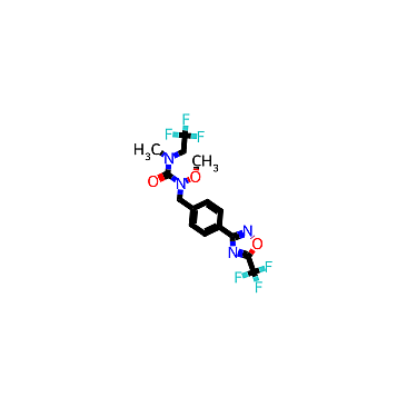 CON(Cc1ccc(-c2noc(C(F)(F)F)n2)cc1)C(=O)N(C)CC(F)(F)F